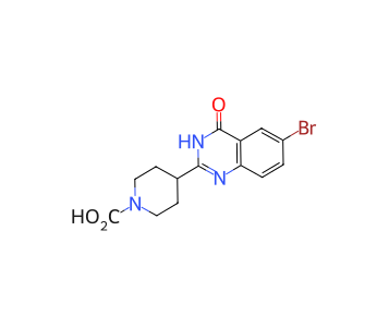 O=C(O)N1CCC(c2nc3ccc(Br)cc3c(=O)[nH]2)CC1